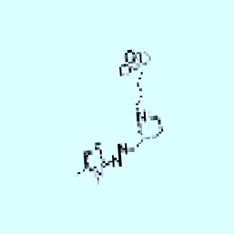 Cc1cs/c(=N\N=C\c2ccc[n+](CCCCS(=O)(=O)[O-])c2)n1C